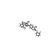 Cc1ccccc1CNC(=O)c1ccc(-n2nc(-c3c(F)cccc3Cl)[nH]c2=O)cc1